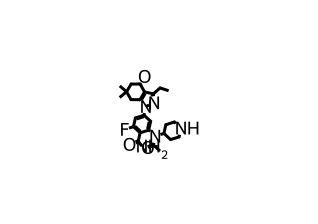 CCc1nn(-c2cc(F)c(C(N)=O)c(N(C(C)=O)C3CCNCC3)c2)c2c1C(=O)CC(C)(C)C2